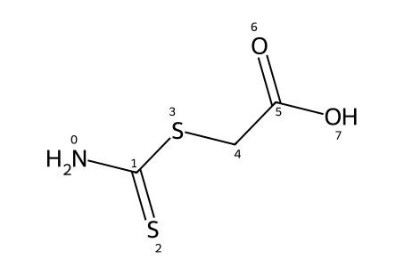 NC(=S)SCC(=O)O